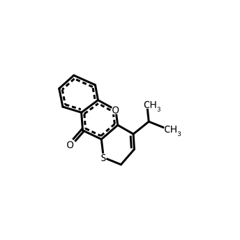 CC(C)C1=CCSc2c1oc1ccccc1c2=O